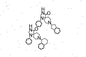 O=C1NCN(c2ccccc2)C12CCN(C1CCCc3ccccc31)CC2.O=C1NCN(c2ccccc2)C12CCN(C1Cc3ccccc3C1)CC2